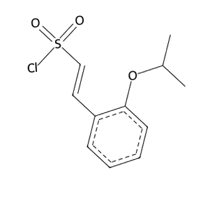 CC(C)Oc1ccccc1/C=C/S(=O)(=O)Cl